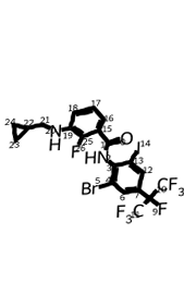 O=C(Nc1c(Br)cc(C(F)(C(F)(F)F)C(F)(F)F)cc1I)c1cccc(NCC2CC2)c1F